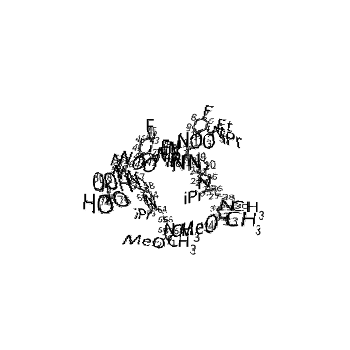 CCN(C(=O)c1cc(F)ccc1Oc1nncnc1N1CCC2(C1)CN([C@@H](CCCN(C)CC(C)OC)C(C)C)C2)C(C)C.CCN(C(=O)c1cc(F)ccc1Oc1nncnc1N1CCC2(C1)CN([C@@H](CCCN(C)CC(C)OC)C(C)C)C2)C(C)C.O=C(O)C(=O)O